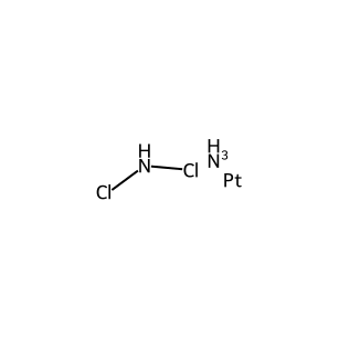 ClNCl.N.[Pt]